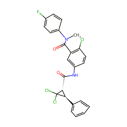 CN(C(=O)c1cc(NC(=O)[C@@H]2[C@@H](c3ccccc3)C2(Cl)Cl)ccc1Cl)c1ccc(F)cc1